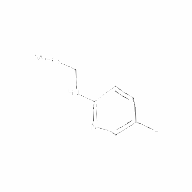 COCNc1ccc(F)cn1